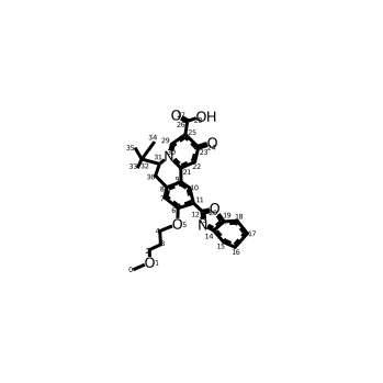 COCCCOc1cc2c(cc1-c1nc3ccccc3o1)-c1cc(=O)c(C(=O)O)cn1C(C(C)(C)C)C2